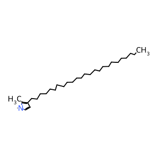 CCCCCCCCCCCCCCCCCCCCCCCCCC1=C(C)[N]C=C1